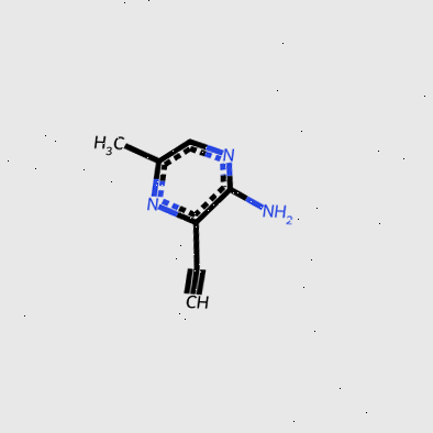 C#Cc1nc(C)cnc1N